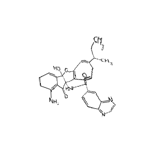 CCC(C)C1=CC2=C(C=CC1)C1(NC(=O)c3ccc4nccnc4c3)C(=O)C3=C(N)CCC=C3C1(O)O2